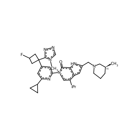 CC(C)c1cn(-c2cc(C3(c4nncn4C)CC(F)C3)cc(C3CC3)n2)c(=O)c2[nH]c(CN3CCC[C@H](C)C3)cc12